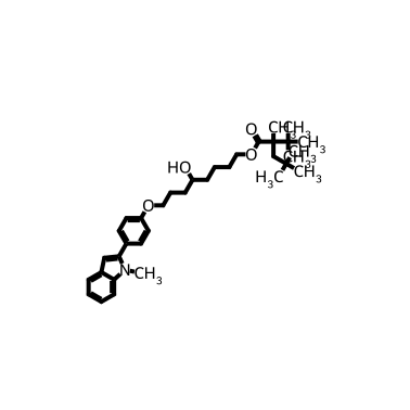 Cn1c(-c2ccc(OCCCC(O)CCCCOC(=O)C(C)(CC(C)(C)C)C(C)(C)C)cc2)cc2ccccc21